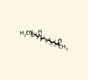 C=NOCCNCCSCCCCC(C)=O